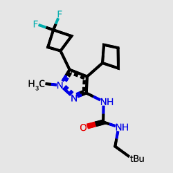 Cn1nc(NC(=O)NCC(C)(C)C)c(C2CCC2)c1C1CC(F)(F)C1